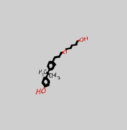 CC(C)(c1ccc(O)cc1)c1ccc(CCCOCCCCCO)cc1